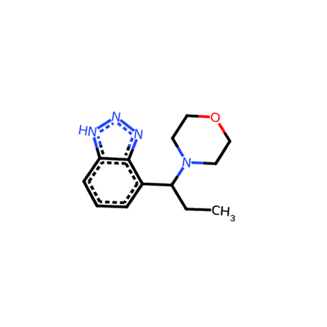 CCC(c1cccc2[nH]nnc12)N1CCOCC1